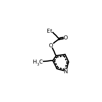 CCC(=O)Oc1ccncc1C